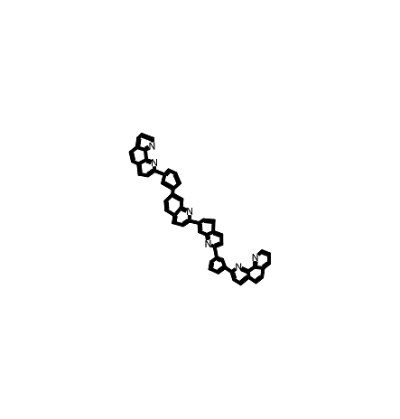 c1cc(-c2ccc3ccc(-c4ccc5ccc(-c6cccc(-c7ccc8ccc9cccnc9c8n7)c6)nc5c4)nc3c2)cc(-c2ccc3ccc4cccnc4c3n2)c1